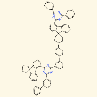 c1ccc(-c2cccc(-c3nc(-c4cccc(-c5ccc(C6CCC7(CC6)c6ccccc6-c6c(-c8nc(-c9ccccc9)nc(-c9ccccc9)n8)cccc67)cc5)c4)nc(-c4cccc5c4-c4ccccc4C54CCCC4)n3)c2)cc1